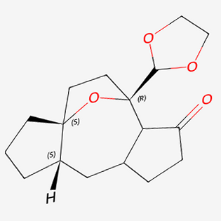 O=C1CCC2C[C@@H]3CCC[C@]34CC[C@@](C3OCCO3)(O4)C12